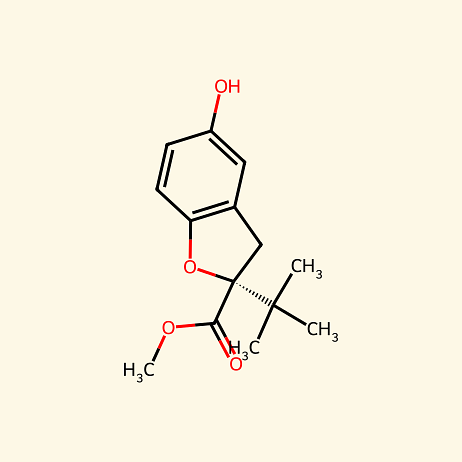 COC(=O)[C@]1(C(C)(C)C)Cc2cc(O)ccc2O1